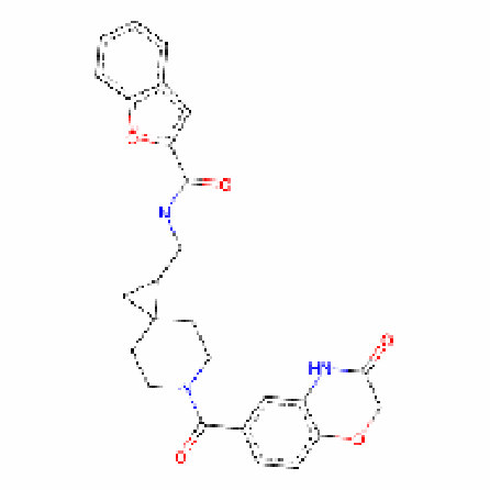 O=C1COc2ccc(C(=O)N3CCC4(CC3)CC4CNC(=O)c3cc4ccccc4o3)cc2N1